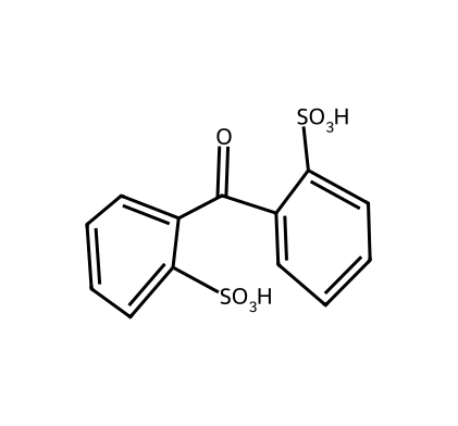 O=C(c1ccccc1S(=O)(=O)O)c1ccccc1S(=O)(=O)O